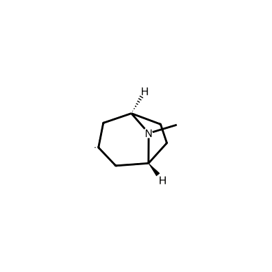 CN1[C@H]2C[CH]C[C@H]1CC2